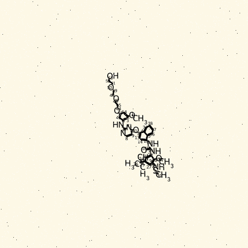 COc1cc(Nc2nccc(Oc3ccc(NC(=O)Nc4cc(C(C)(C)C)cc(NSC)c4OC)c4ccccc34)n2)cc(OCCOCCOCCO)c1